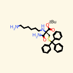 CC(C)(C)OC(=O)[C@@](CSC(c1ccccc1)(c1ccccc1)c1ccccc1)(NCCCCCCN)C(N)=O